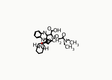 C=C1C2CC1C2=CN1[C@@H]2CCC[C@H]1C[C@@H](n1c(=O)c(/C(=N/OCC(=O)N(CC)CC)C(=O)O)nc3ccccc31)C2